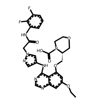 CCOc1cc(OC[C@H]2COCCN2C(=O)O)c2c(Nc3cnn(CC(=O)Nc4cccc(F)c4F)c3)ncnc2c1